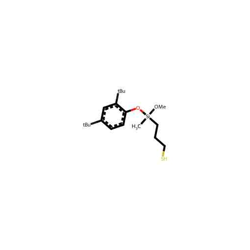 CO[Si](C)(CCCS)Oc1ccc(C(C)(C)C)cc1C(C)(C)C